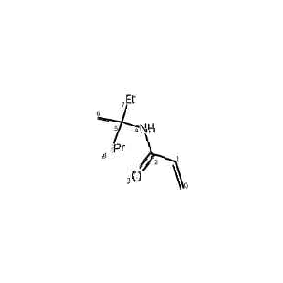 C=CC(=O)NC(C)(CC)C(C)C